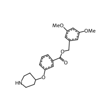 COc1cc(COC(=O)c2cccc(OC3CCNCC3)c2)cc(OC)c1